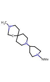 CNN1CCC(N2CCC3(CCN(C)CC3)CC2)CC1